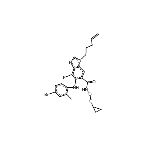 C=CCCCn1cnc2c(F)c(Nc3ccc(Br)cc3C)c(C(=O)NOCC3CC3)cc21